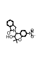 CC1(C)Oc2cc([N+](=O)[O-])ccc2[C@@H](N2Cc3ccccc3C2=O)[C@@H]1O